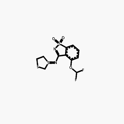 O=S1(=O)N=C(/N=S2\CCSC2)c2c(OC(F)F)cccc21